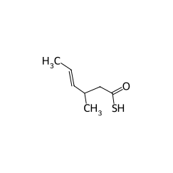 CC=CC(C)CC(=O)S